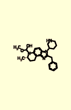 COC(O)N1c2ccc3c(nc(Cc4ccccc4)n3[C@@H]3CCCNC3)c2CC[C@@H]1C